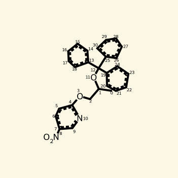 CC(COc1ccc([N+](=O)[O-])cn1)OC(c1ccccc1)(c1ccccc1)c1ccccc1